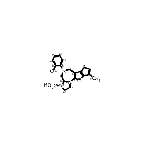 CC1=CCc2c1sc1c2CN(c2ccccc2Cl)CC2N(C(=O)O)CCN12